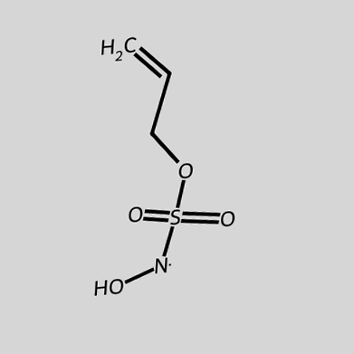 C=CCOS(=O)(=O)[N]O